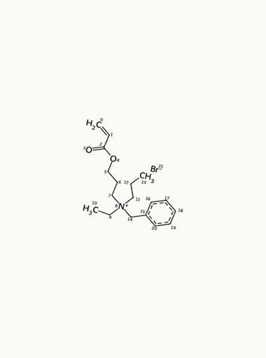 C=CC(=O)OCCC[N+](CC)(CCC)Cc1ccccc1.[Br-]